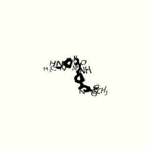 Cc1nc2cc(-n3ncc(C(=O)c4cc5ccc(-c6cncc(S(C)(=O)=O)c6)cc5[nH]4)c3N)ccc2[nH]1